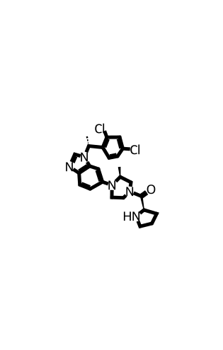 C[C@H](c1ccc(Cl)cc1Cl)n1cnc2ccc(N3CCN(C(=O)[C@H]4CCCN4)C[C@@H]3C)cc21